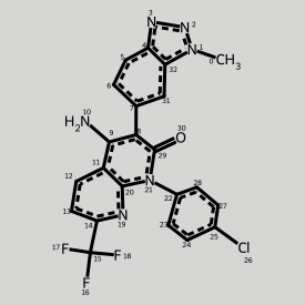 Cn1nnc2ccc(-c3c(N)c4ccc(C(F)(F)F)nc4n(-c4ccc(Cl)cc4)c3=O)cc21